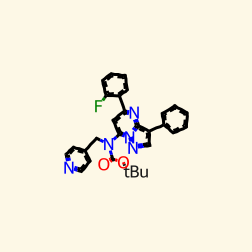 CC(C)(C)OC(=O)N(Cc1ccncc1)c1cc(-c2ccccc2F)nc2c(-c3ccccc3)cnn12